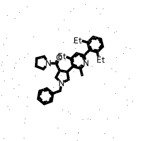 CCc1cccc(CC)c1-c1cc(CC)c(C2CN(Cc3ccccc3)CC2C(=O)N2CCCC2)c(C)n1